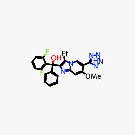 CCc1c(C(O)(c2ccccc2F)c2ccccc2F)nc2cc(OC)c(-c3nnn[nH]3)cn12